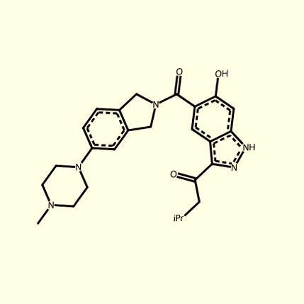 CC(C)CC(=O)c1n[nH]c2cc(O)c(C(=O)N3Cc4ccc(N5CCN(C)CC5)cc4C3)cc12